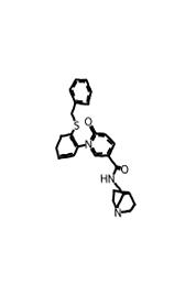 O=C(NC1CN2CCC1CC2)c1ccc(=O)n(C2=C(SCc3ccccc3)CCC=C2)c1